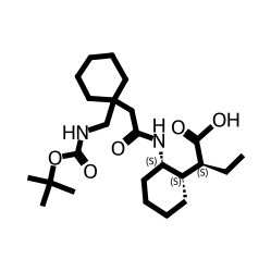 CC[C@H](C(=O)O)[C@@H]1CCCC[C@@H]1NC(=O)CC1(CNC(=O)OC(C)(C)C)CCCCC1